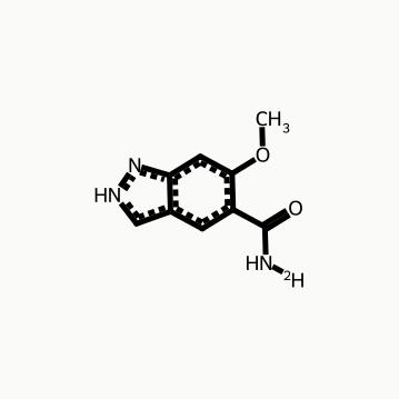 [2H]NC(=O)c1cc2c[nH]nc2cc1OC